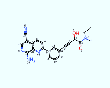 CCN(C)C(=O)[C@H](O)C#Cc1cccc(-c2ccc3c(C#N)cnc(N)c3n2)c1